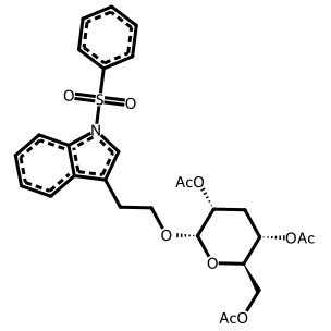 CC(=O)OC[C@H]1O[C@H](OCCc2cn(S(=O)(=O)c3ccccc3)c3ccccc23)[C@H](OC(C)=O)C[C@@H]1OC(C)=O